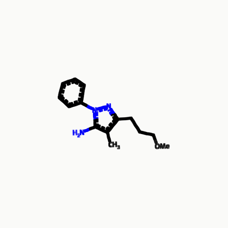 COCCCc1nn(-c2ccccc2)c(N)c1C